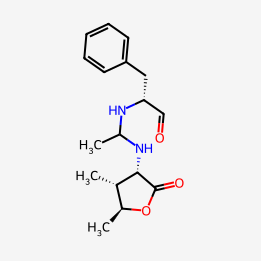 CC(N[C@@H]1C(=O)O[C@@H](C)[C@@H]1C)N[C@@H](C=O)Cc1ccccc1